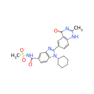 Cc1nc(=O)c2cc(-c3nc4cc(C(=O)NS(C)(=O)=O)ccc4n3C3CCCCC3)ccc2[nH]1